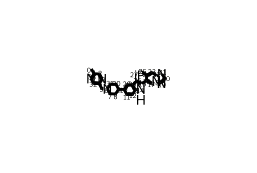 Cc1cnc(CN2CCC(c3ccc4[nH]c(-c5cn6ncnc6cc5C)c(C(C)C)c4c3)CC2)cn1